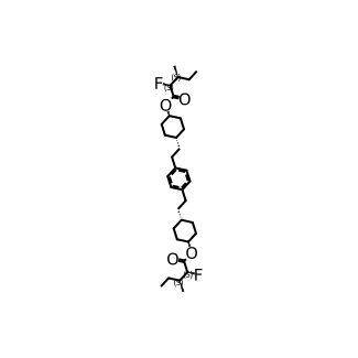 CC[C@H](C)[C@H](F)C(=O)O[C@H]1CC[C@H](CCc2ccc(CC[C@H]3CC[C@H](OC(=O)[C@@H](F)[C@@H](C)CC)CC3)cc2)CC1